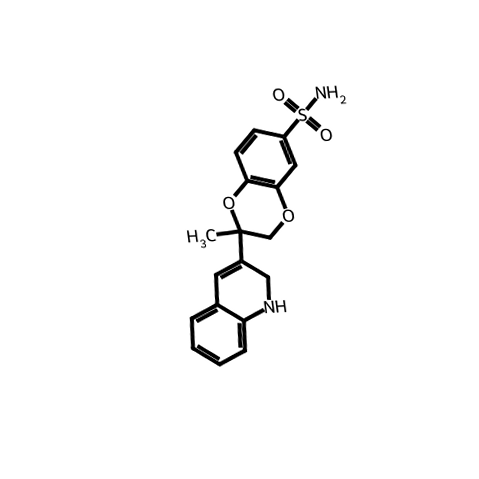 CC1(C2=Cc3ccccc3NC2)COc2cc(S(N)(=O)=O)ccc2O1